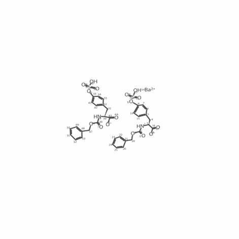 O=C(N[C@@H](Cc1ccc(OS(=O)(=O)O)cc1)C(=O)[O-])OCc1ccccc1.O=C(N[C@@H](Cc1ccc(OS(=O)(=O)O)cc1)C(=O)[O-])OCc1ccccc1.[Ba+2]